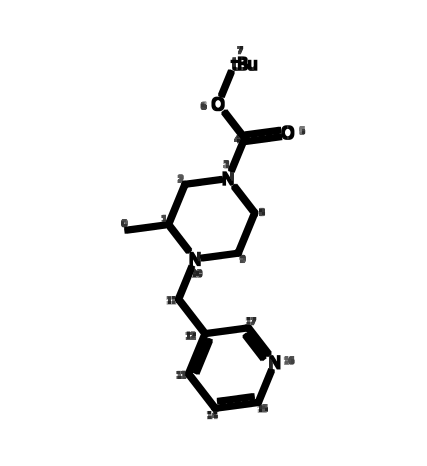 CC1CN(C(=O)OC(C)(C)C)CCN1Cc1cccnc1